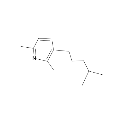 Cc1ccc(CCCC(C)C)c(C)n1